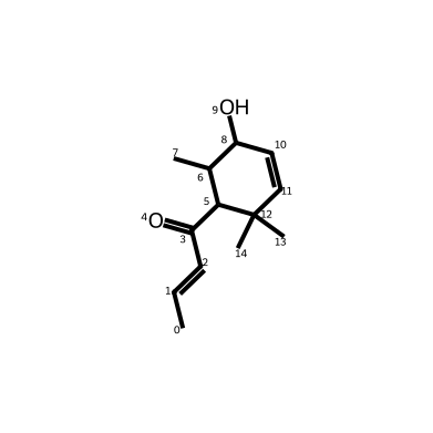 CC=CC(=O)C1C(C)C(O)C=CC1(C)C